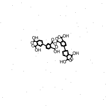 O=C(O)c1ccc(-c2ccc(C(=O)O)c(C(=O)OC(=O)c3cc(-c4ccc(C(=O)O)c(C(=O)O)c4)ccc3C(=O)O)c2)cc1C(=O)O